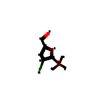 CS(C)(C)c1sc(C=O)cc1F